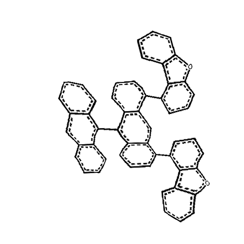 c1ccc2c(-c3c4cccc(-c5cccc6oc7ccccc7c56)c4cc4c(-c5cccc6oc7ccccc7c56)cccc34)c3ccccc3cc2c1